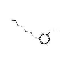 O=Cc1cccc(OCCOCCO)c1